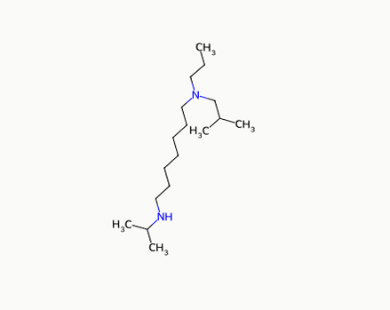 CCCN(CCCCCCCNC(C)C)CC(C)C